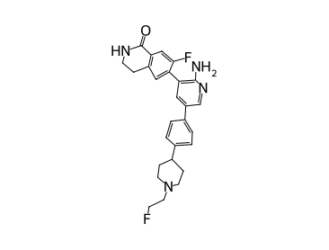 Nc1ncc(-c2ccc(C3CCN(CCF)CC3)cc2)cc1-c1cc2c(cc1F)C(=O)NCC2